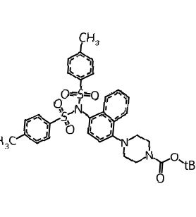 Cc1ccc(S(=O)(=O)N(c2ccc(N3CCN(C(=O)OC(C)(C)C)CC3)c3ccccc23)S(=O)(=O)c2ccc(C)cc2)cc1